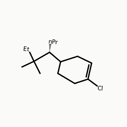 CCC[C@H](C1CC=C(Cl)CC1)C(C)(C)CC